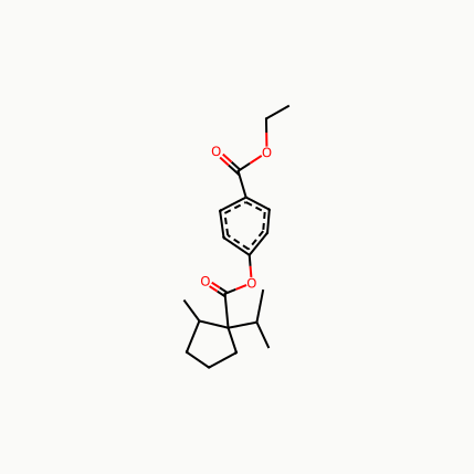 CCOC(=O)c1ccc(OC(=O)C2(C(C)C)CCCC2C)cc1